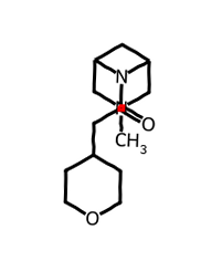 CN1CC2CC(C1)N2C(=O)CC1CCOCC1